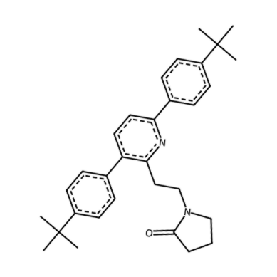 CC(C)(C)c1ccc(-c2ccc(-c3ccc(C(C)(C)C)cc3)c(CCN3CCCC3=O)n2)cc1